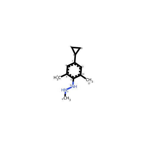 CNNc1c(C)cc(C2CC2)cc1C